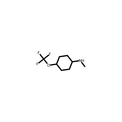 CNC1CCC(OC(F)(F)F)CC1